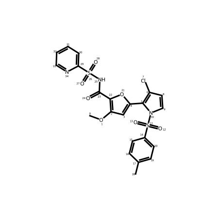 COc1cc(-c2c(Cl)ccn2S(=O)(=O)c2ccc(C)cc2)oc1C(=O)NS(=O)(=O)c1ccccn1